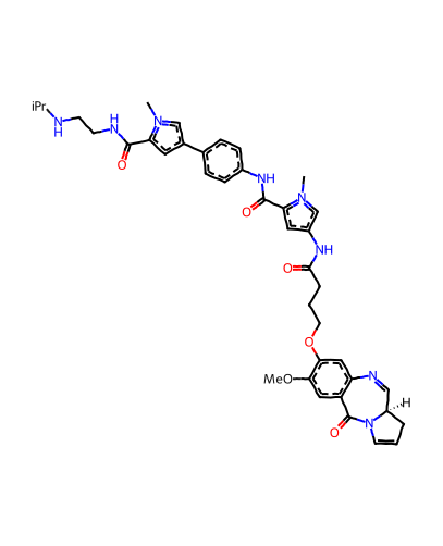 COc1cc2c(cc1OCCCC(=O)Nc1cc(C(=O)Nc3ccc(-c4cc(C(=O)NCCNC(C)C)n(C)c4)cc3)n(C)c1)N=C[C@H]1CC=CN1C2=O